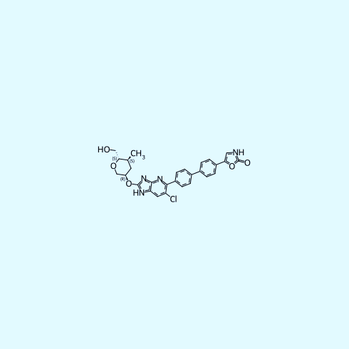 C[C@H]1C[C@@H](Oc2nc3nc(-c4ccc(-c5ccc(-c6c[nH]c(=O)o6)cc5)cc4)c(Cl)cc3[nH]2)CO[C@@H]1CO